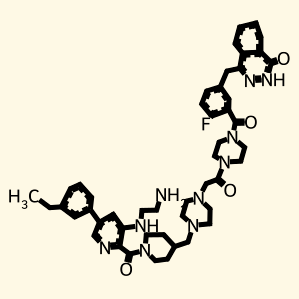 CCc1cccc(-c2cnc(C(=O)N3CCC(CN4CCN(CC(=O)N5CCN(C(=O)c6cc(Cc7n[nH]c(=O)c8ccccc78)ccc6F)CC5)CC4)CC3)c(NCCN)c2)c1